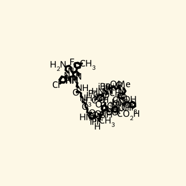 CC[C@H](C)[C@@H]([C@@H](CC(=O)N1CCC[C@H]1C[C@@H](C)C(=O)N[C@H](C)[C@@H](O)c1ccccc1)OC)N(C)C(=O)[C@@H](NC(=O)[C@H](C(C)C)N(C)C(=O)OCc1ccc(NC(=O)[C@H](C)NC(=O)[C@@H](NC(=O)CCOCCNCCC(=O)NCCNc2ncc(-c3cc(C)cc(F)c3)c(N3CCC(N)CC3)c2-c2nc3ccc(Cl)cc3[nH]2)C(C)C)c(O[C@@H]2O[C@H](C(=O)O)[C@@H](O)[C@H](O)[C@H]2O)c1)C(C)C